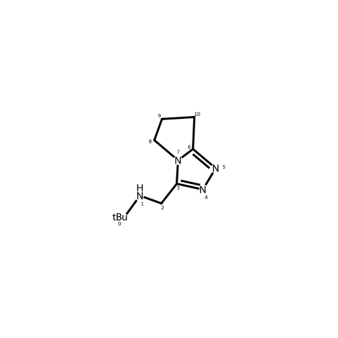 CC(C)(C)NCc1nnc2n1CCC2